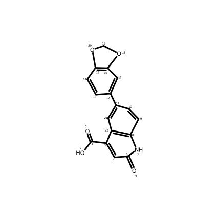 O=C(O)c1cc(=O)[nH]c2ccc(-c3ccc4c(c3)OCO4)cc12